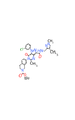 Cc1cn(C)nc1CNC(=O)c1nn(-c2cccc(Cl)c2)c2c(=O)n(-c3ccc4c(c3)CN(C(=O)OC(C)(C)C)CC4)c(C)nc12